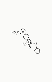 CC1(CN(C(=O)C(F)(F)F)[C@@H]2C[C@H]2c2ccccc2)CCN(C2(CC(=O)O)CCC2)CC1